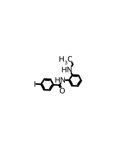 CCNc1ccccc1NC(=O)c1ccc(I)cc1